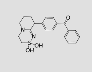 O=C(c1ccccc1)c1ccc(C2CCCN3CCS(O)(O)N=C23)cc1